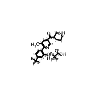 Cc1cc(C(=O)C2CCCNC2)cnc1-c1ccc(C(F)(F)F)cc1O.O=C(O)C(F)(F)F